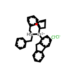 C1=CC[C]([Zr+2]([c]2cccc3c2Cc2ccccc2-3)[SiH](Cc2ccccc2)Cc2ccccc2)=C1.[Cl-].[Cl-]